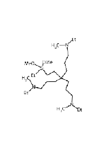 CCN(C)CCCC(CCCN(C)CC)(CCCN(C)CC)CC[Si](CC)(OC)OC